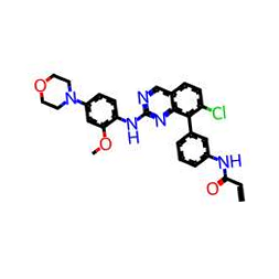 C=CC(=O)Nc1cccc(-c2c(Cl)ccc3cnc(Nc4ccc(N5CCOCC5)cc4OC)nc23)c1